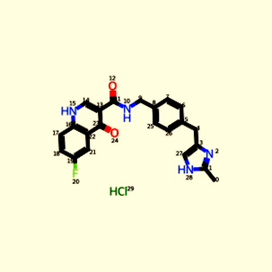 Cc1nc(Cc2ccc(CNC(=O)c3c[nH]c4ccc(F)cc4c3=O)cc2)c[nH]1.Cl